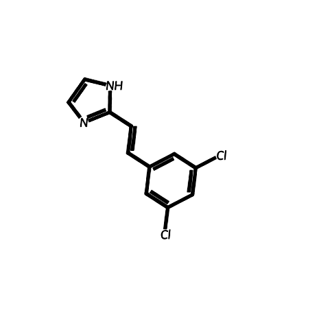 Clc1cc(Cl)cc(C=Cc2ncc[nH]2)c1